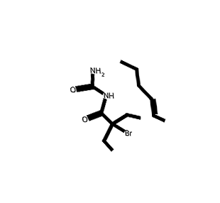 C/C=C/CCC.CCC(Br)(CC)C(=O)NC(N)=O